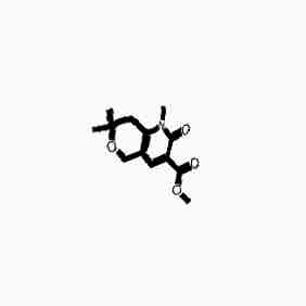 COC(=O)c1cc2c(n(C)c1=O)CC(C)(C)OC2